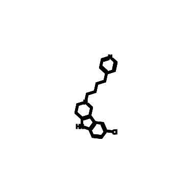 Clc1ccc2[nH]c3c(c2c1)CN(CCCCc1ccncc1)CC3